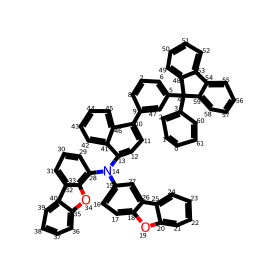 c1ccc(C2(c3cccc(-c4ccc(N(c5ccc6oc7ccccc7c6c5)c5cccc6c5oc5ccccc56)c5ccccc45)c3)c3ccccc3-c3ccccc32)cc1